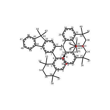 Cc1ccc2c(c1-c1cc3c(cc1N(c1cccc4c1C(C)(C)CCC4(C)C)c1cccc4c1C(C)(C)CCC4(C)C)C(C)(C)c1ccccc1-3)C(C)(C)CCC2(C)C